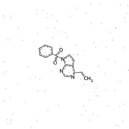 C=Cc1ncnc2c1ccn2S(=O)(=O)c1ccccc1